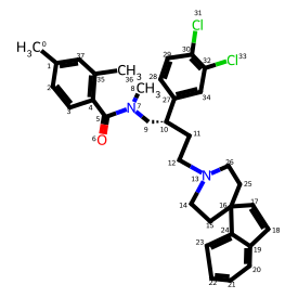 Cc1ccc(C(=O)N(C)C[C@@H](CCN2CCC3(C=Cc4ccccc43)CC2)c2ccc(Cl)c(Cl)c2)c(C)c1